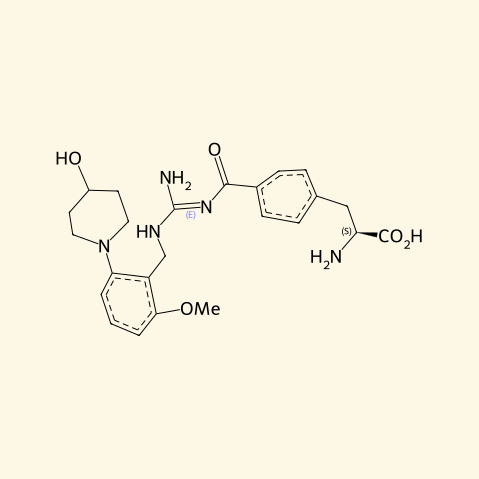 COc1cccc(N2CCC(O)CC2)c1CN/C(N)=N/C(=O)c1ccc(C[C@H](N)C(=O)O)cc1